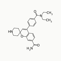 CCN(CC)C(=O)c1ccc(C2=CC3(CCNCC3)Oc3cc(C(N)=O)ccc32)cc1